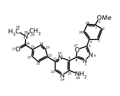 COc1ccc(-c2nnc(-c3nc(-c4ccc(C(=O)N(C)C)cc4)cnc3N)o2)cc1